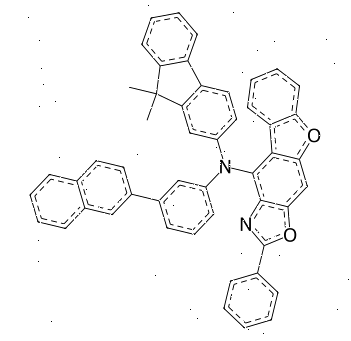 CC1(C)c2ccccc2-c2ccc(N(c3cccc(-c4ccc5ccccc5c4)c3)c3c4nc(-c5ccccc5)oc4cc4oc5ccccc5c34)cc21